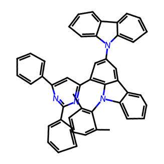 Cc1cccc(C)c1-n1c2ccccc2c2cc(-n3c4ccccc4c4ccccc43)cc(-c3cc(-c4ccccc4)nc(-c4ccccc4)n3)c21